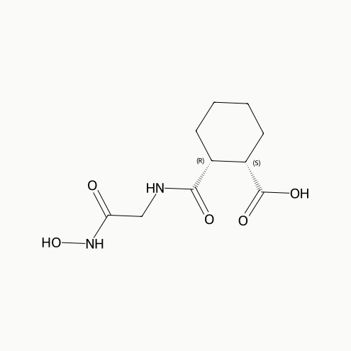 O=C(CNC(=O)[C@@H]1CCCC[C@@H]1C(=O)O)NO